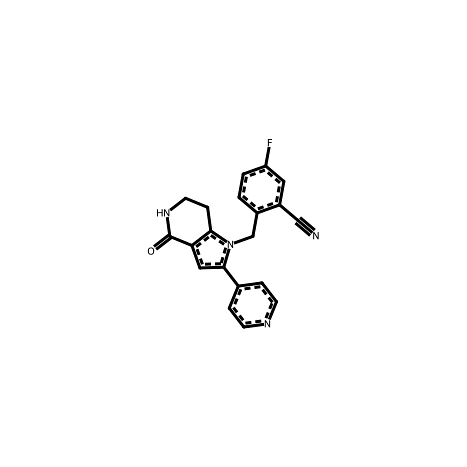 N#Cc1cc(F)ccc1Cn1c(-c2ccncc2)cc2c1CCNC2=O